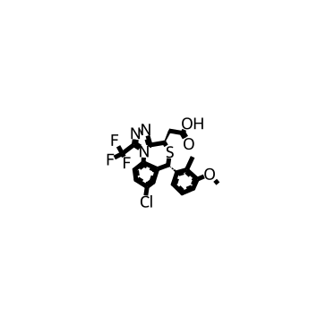 COc1cccc([C@H]2S[C@H](CC(=O)O)c3nnc(C(F)(F)F)n3-c3ccc(Cl)cc32)c1C